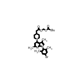 Cc1cc(N2CCC(CC(=O)OCOC(=O)C(C)(C)C)CC2)c2c(C)cn(-c3c(C)cc(Br)cc3C)c2n1